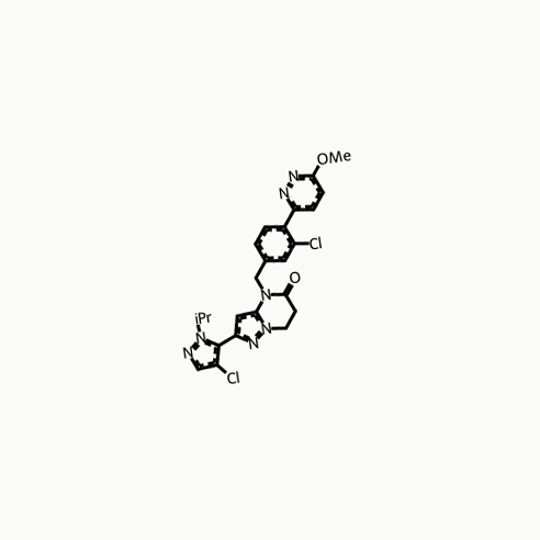 COc1ccc(-c2ccc(CN3C(=O)CCn4nc(-c5c(Cl)cnn5C(C)C)cc43)cc2Cl)nn1